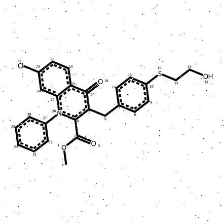 COC(=O)c1c(Cc2ccc(SCCO)cc2)c(=O)c2ccc(Cl)cc2n1-c1ccccc1